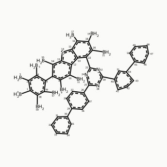 Bc1c(B)c(B)c(-c2c(B)c(B)c3c(sc4c(B)c(B)c(B)c(-c5nc(-c6ccc(-c7ccccc7)cc6)nc(-c6cccc(-c7ccccc7)c6)n5)c43)c2B)c(B)c1B